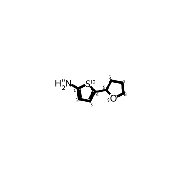 Nc1ccc(C2CCCO2)s1